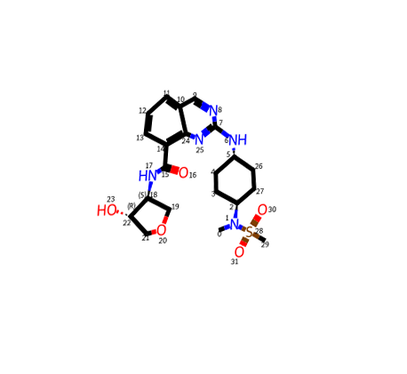 CN([C@H]1CC[C@H](Nc2ncc3cccc(C(=O)N[C@H]4COC[C@@H]4O)c3n2)CC1)S(C)(=O)=O